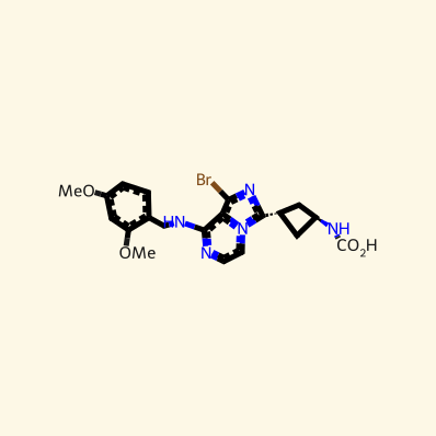 COc1ccc(CNc2nccn3c2c(Br)nc3[C@H]2C[C@H](NC(=O)O)C2)c(OC)c1